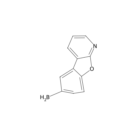 Bc1ccc2oc3ncccc3c2c1